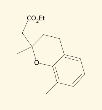 CCOC(=O)CC1(C)CCc2cccc(C)c2O1